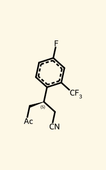 CC(=O)C[C@H](CC#N)c1ccc(F)cc1C(F)(F)F